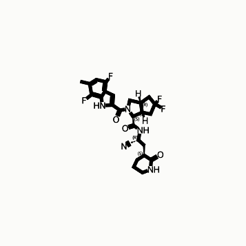 Cc1cc(F)c2cc(C(=O)N3C[C@@H]4CC(F)(F)C[C@@H]4[C@H]3C(=O)N[C@@H](C#N)C[C@@H]3CCCNC3=O)[nH]c2c1F